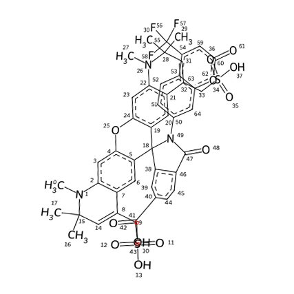 CN1c2cc3c(cc2C(CS(=O)(=O)O)=CC1(C)C)C1(c2cc4c(cc2O3)N(C)C(C)(C)C=C4CS(=O)(=O)O)c2cc(C(=O)O)ccc2C(=O)N1c1ccc2c(C(F)(F)F)cc(=O)oc2c1